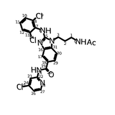 CC(=O)NCCCn1c(Nc2c(Cl)cccc2Cl)nc2cc(C(=O)Nc3cc(Cl)ccn3)ccc21